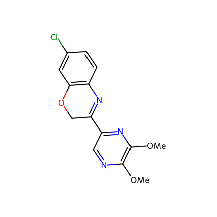 COc1ncc(C2=Nc3ccc(Cl)cc3OC2)nc1OC